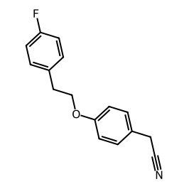 N#CCc1ccc(OCCc2ccc(F)cc2)cc1